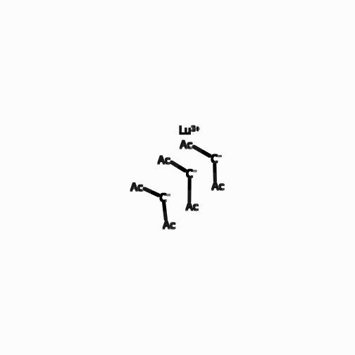 CC(=O)[CH-]C(C)=O.CC(=O)[CH-]C(C)=O.CC(=O)[CH-]C(C)=O.[Lu+3]